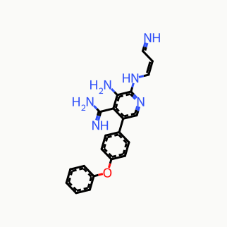 N=C/C=C\Nc1ncc(-c2ccc(Oc3ccccc3)cc2)c(C(=N)N)c1N